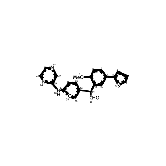 COc1ccc(-c2cccs2)cc1C(C=O)c1ccc(Nc2cnccn2)cc1